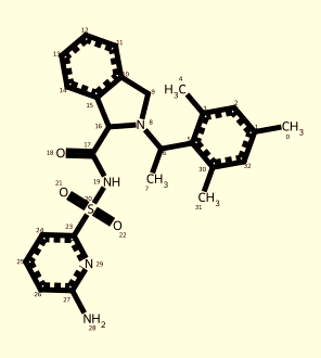 Cc1cc(C)c(C(C)N2Cc3ccccc3C2C(=O)NS(=O)(=O)c2cccc(N)n2)c(C)c1